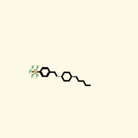 CCCCC[C@H]1CC[C@H](CCc2ccc(S(F)(F)(F)(F)F)cc2)CC1